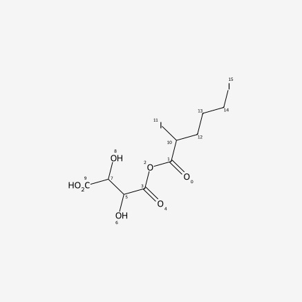 O=C(OC(=O)C(O)C(O)C(=O)O)C(I)CCCI